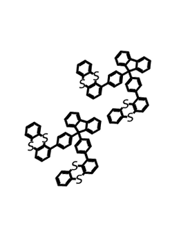 c1ccc2c(c1)Sc1cccc(-c3ccc(C4(c5ccc(-c6cccc7c6Sc6ccccc6S7)cc5)c5ccccc5-c5ccccc54)cc3)c1S2.c1ccc2c(c1)Sc1cccc(-c3ccc(C4(c5ccc(-c6cccc7c6Sc6ccccc6S7)cc5)c5ccccc5-c5ccccc54)cc3)c1S2